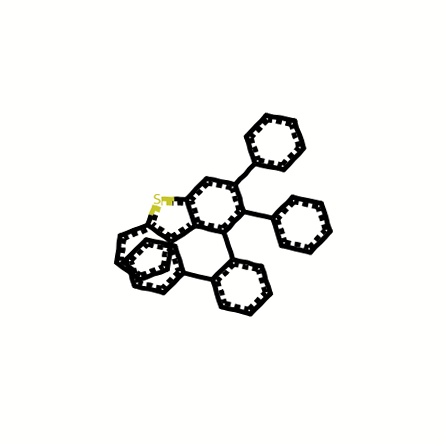 c1ccc(-c2ccccc2-c2c(-c3ccccc3)c(-c3ccccc3)cc3sc4ccccc4c23)cc1